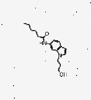 CCCCCC(=O)Nc1ccc2ccn(CCCO)c2c1